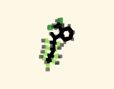 CC(c1ccccc1[SiH](Cl)Cl)C(F)(F)C(F)(F)C(F)(F)C(F)(F)F